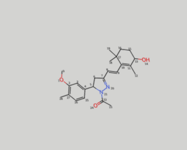 COc1cc(C2CC(/C=C/C3=C(C)C(O)CCC3(C)C)=NN2C(C)=O)ccc1C